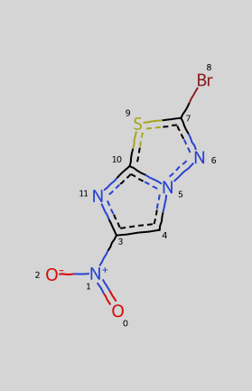 O=[N+]([O-])c1cn2nc(Br)sc2n1